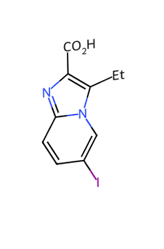 CCc1c(C(=O)O)nc2ccc(I)cn12